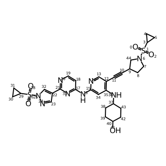 O=S(=O)(C1CC1)N1CCC(C#Cc2cnc(Nc3ccnc(-c4cnn(S(=O)(=O)C5CC5)c4)n3)cc2NC2CCC(O)CC2)C1